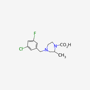 CC1CN(Cc2cc(F)cc(Cl)c2)CCN1C(=O)O